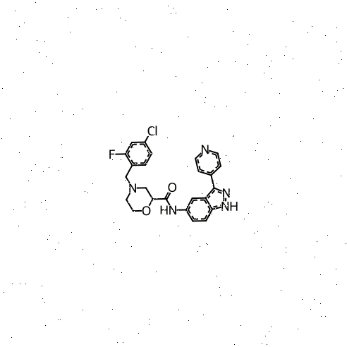 O=C(Nc1ccc2[nH]nc(-c3ccncc3)c2c1)C1CN(Cc2ccc(Cl)cc2F)CCO1